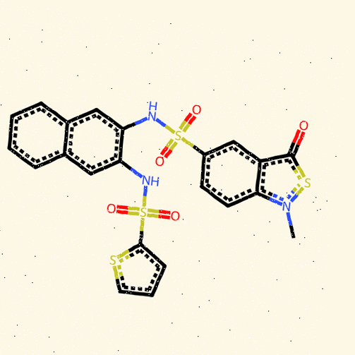 Cn1sc(=O)c2cc(S(=O)(=O)Nc3cc4ccccc4cc3NS(=O)(=O)c3cccs3)ccc21